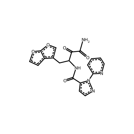 NC(=O)C(=O)C(Cc1coc2occc12)NC(=O)c1ccnn1-c1ccccn1